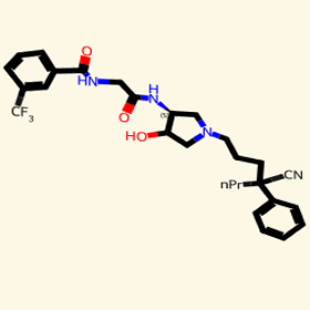 CCCC(C#N)(CCCN1CC(O)[C@@H](NC(=O)CNC(=O)c2cccc(C(F)(F)F)c2)C1)c1ccccc1